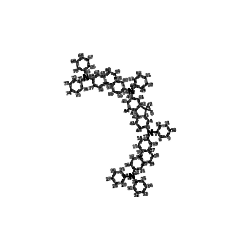 CC1(C)c2cc(N(c3ccccc3)c3ccc4c(ccc5cc(N(c6ccccc6)c6ccccc6)ccc54)c3)ccc2-c2ccc(N(c3ccccc3)c3ccc4c(ccc5cc(N(c6ccccc6)c6ccccc6)ccc54)c3)cc21